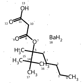 CCCCCC(C)(OC(=O)CC(=O)O)C(C)(C)C.[BaH2]